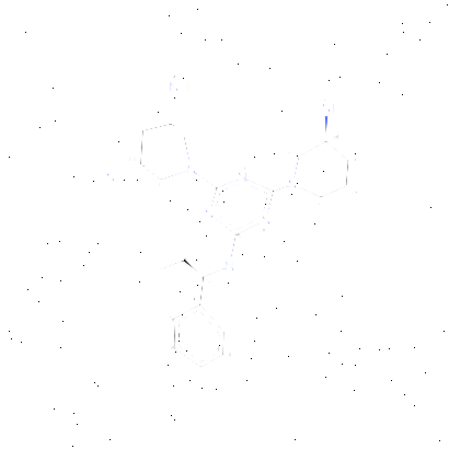 N[C@@H]1C[C@H](N)CN(c2nc(N[C@H](CO)c3ccccc3)nc(N3CCC[C@H](N)C3)n2)C1